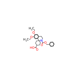 CCOc1cc2c(cc1OCC)C1(CCC(C(=O)O)CC1)N(C(=O)OCc1ccccc1)CC2